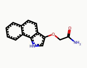 NC(=O)COc1c[nH]c2c1ccc1ccccc12